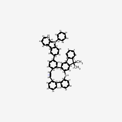 CC1(C)c2ccccc2-c2cc3c(cc21)Sc1ccccc1-c1ccccc1/C=C\c1ccc(-c2ccc4c(c2)c2cccnc2n4-c2ccccc2)cc1-3